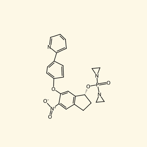 O=[N+]([O-])c1cc2c(cc1Oc1ccc(-c3ccccn3)cc1)[C@H](OP(=O)(N1CC1)N1CC1)CC2